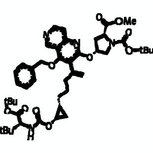 C=C(CCC[C@@H]1C[C@H]1OC(=O)N[C@H](C(=O)OC(C)(C)C)C(C)(C)C)c1c(O[C@@H]2C[C@@H](C(=O)OC)N(C(=O)OC(C)(C)C)C2)nc2ccncc2c1OCc1ccccc1